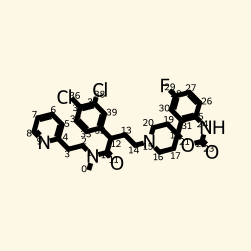 CN(CCc1ccccn1)C(=O)C(CCN1CCC2(CC1)OC(=O)Nc1ccc(F)cc12)c1ccc(Cl)c(Cl)c1